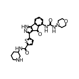 O=C(Nc1cccc2c1C(=O)c1c(-c3ccc(C(=O)NC4CCCNC4)s3)n[nH]c1-2)NN1CCOCC1